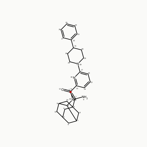 NC(=O)C12CC3CC(C1)C(NC(=O)c1cccc(N4CCC(c5ccccc5)CC4)n1)C(C3)C2